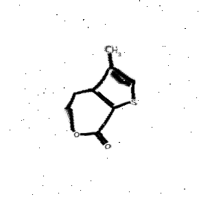 Cc1csc2c1CCOC2=O